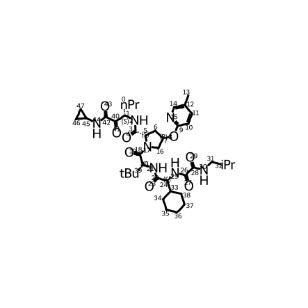 CCC[C@H](NC(=O)[C@@H]1C[C@@H](Oc2ccc(C)cn2)CN1C(=O)[C@@H](NC(=O)[C@@H](NC(=O)C(=O)NCC(C)C)C1CCCCC1)C(C)(C)C)C(=O)C(=O)NC1CC1